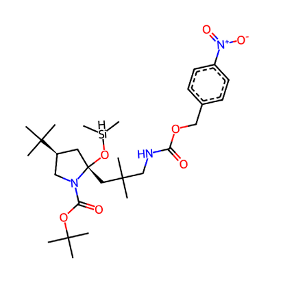 C[SiH](C)O[C@@]1(CC(C)(C)CNC(=O)OCc2ccc([N+](=O)[O-])cc2)C[C@H](C(C)(C)C)CN1C(=O)OC(C)(C)C